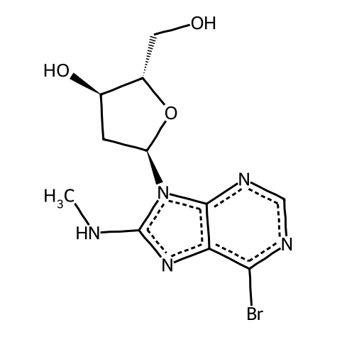 CNc1nc2c(Br)ncnc2n1[C@H]1C[C@@H](O)[C@H](CO)O1